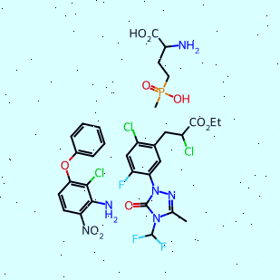 CCOC(=O)C(Cl)Cc1cc(-n2nc(C)n(C(F)F)c2=O)c(F)cc1Cl.CP(=O)(O)CCC(N)C(=O)O.Nc1c([N+](=O)[O-])ccc(Oc2ccccc2)c1Cl